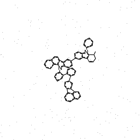 CC1CC=Cc2c1n(-c1ccccc1)c1ccc(-c3ccc4c(c3)c3ccc5ccccc5c3n4-c3ccccc3-c3ccccc3-c3ccc4c(c3)-c3cccc5cccc-4c35)cc21